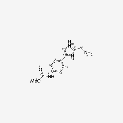 COC(=O)Nc1ccc(-c2c[nH]c(CN)n2)cc1